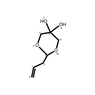 C=CCC1OCC(O)(O)CO1